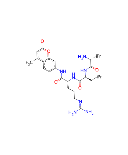 CC(C)C[C@H](NC(=O)[C@H](N)C(C)C)C(=O)N[C@@H](CCCN=C(N)N)C(=O)Nc1ccc2c(C(F)(F)F)cc(=O)oc2c1